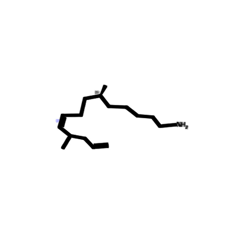 C=CCC(C)/C=C\CC[C@@H](C)CCCCCN